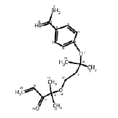 B=C(B)c1ccc(OC(C)(C)CCOC(C)(C)C(=O)C=C)cc1